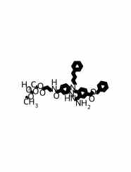 CCOC(=O)OC(C)OC(=O)CCNC(=O)c1ccc2c(c1)nc(-c1ccc(C(=O)OCc3ccccc3)cc1C(=N)N)n2CCCCc1ccccc1